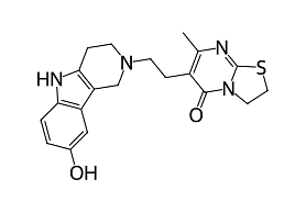 Cc1nc2n(c(=O)c1CCN1CCc3[nH]c4ccc(O)cc4c3C1)CCS2